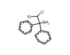 CCC(Cl)C([SiH3])(c1ccccc1)c1ccccc1